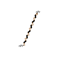 CCCSCCSCCSCCSCCSCCSCCSCCC